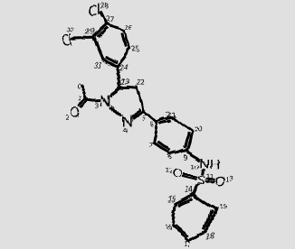 CC(=O)N1N=C(c2ccc(NS(=O)(=O)c3ccccc3)cc2)CC1c1ccc(Cl)c(Cl)c1